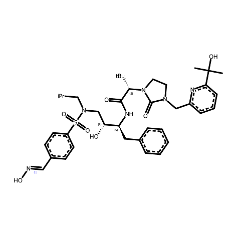 CC(C)CN(C[C@@H](O)[C@H](Cc1ccccc1)NC(=O)[C@@H](N1CCN(Cc2cccc(C(C)(C)O)n2)C1=O)C(C)(C)C)S(=O)(=O)c1ccc(/C=N/O)cc1